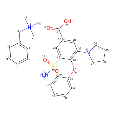 C[N+](C)(C)Cc1ccccc1.NS(=O)(=O)c1cc(C(=O)O)cc(N2CCCC2)c1Oc1ccccc1